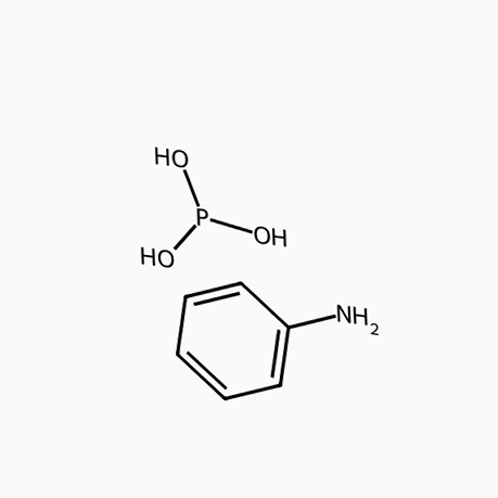 Nc1ccccc1.OP(O)O